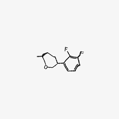 CC1CCC(c2cccc(F)c2F)CO1